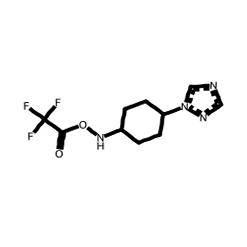 O=C(ONC1CCC(n2cncn2)CC1)C(F)(F)F